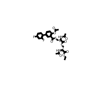 CCOC(=O)[C@@H](CSC(=O)[C@@H](CSC(=O)c1cc(-c2ccc(F)cc2F)ccc1OC(C)=O)NC(C)=O)NC(C)=O